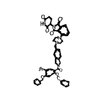 CC(C)c1cc(C(=O)N2Cc3ccc(CN4CCN(c5cccc6c5C(=O)N(C5CCC(=O)NC5=O)C6=O)CC4)cc3C2)c(OCc2ccccc2)cc1OCc1ccccc1